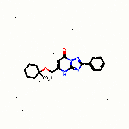 O=C(O)C1(OCc2cc(=O)n3nc(-c4ccccc4)nc3[nH]2)CCCCC1